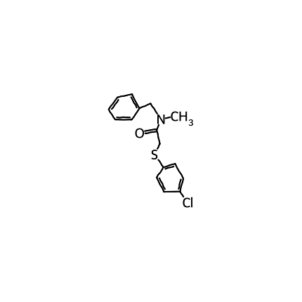 CN(Cc1ccccc1)C(=O)CSc1ccc(Cl)cc1